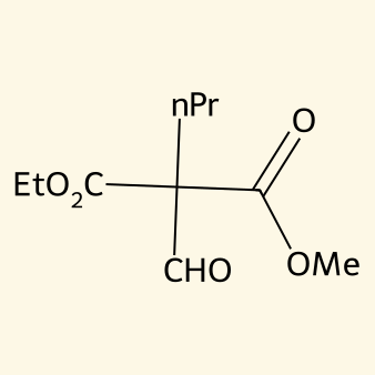 CCCC(C=O)(C(=O)OC)C(=O)OCC